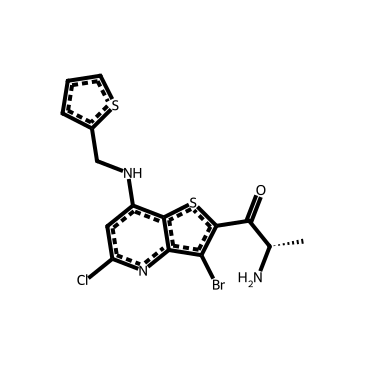 C[C@H](N)C(=O)c1sc2c(NCc3cccs3)cc(Cl)nc2c1Br